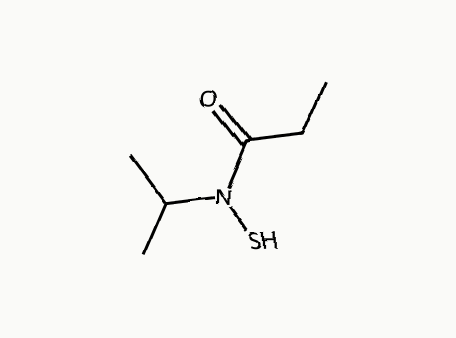 CCC(=O)N(S)C(C)C